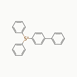 c1ccc(-c2ccc([S+](c3ccccc3)c3ccccc3)cc2)cc1